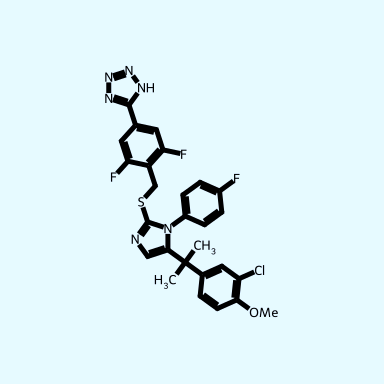 COc1ccc(C(C)(C)c2cnc(SCc3c(F)cc(-c4nnn[nH]4)cc3F)n2-c2ccc(F)cc2)cc1Cl